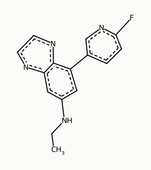 CCNc1cc(-c2ccc(F)nc2)c2nccnc2c1